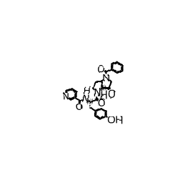 O=C(N[C@@H](Cc1ccc(O)cc1)C(=O)N1CCC2[C@H]1C(=O)CN2C(=O)c1ccccc1)c1cccnc1